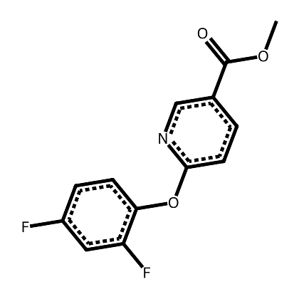 COC(=O)c1ccc(Oc2ccc(F)cc2F)nc1